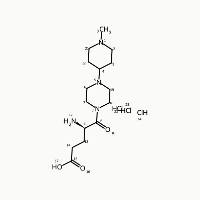 CN1CCC(N2CCN(C(=O)[C@H](N)CCC(=O)O)CC2)CC1.Cl.Cl.Cl